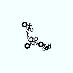 CC1(C)C(=O)N(CCCN2CCC3(CC2)C(=O)N(c2ccc(NS(C)(=O)=O)cc2)CN3c2ccccc2)c2ccccc21